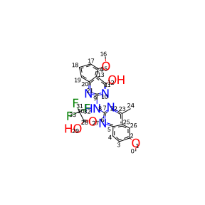 COc1ccc2nc(Nc3nc(O)c4c(OC)cccc4n3)nc(C)c2c1.O=C(O)C(F)(F)F